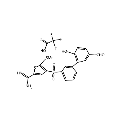 CSc1sc(C(=N)N)cc1S(=O)(=O)c1cccc(-c2cc(C=O)ccc2O)c1.O=C(O)C(F)(F)F